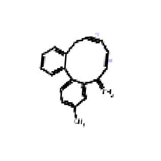 C=C1/C=C\C=C/Cc2ccccc2-c2ccc(C)cc21